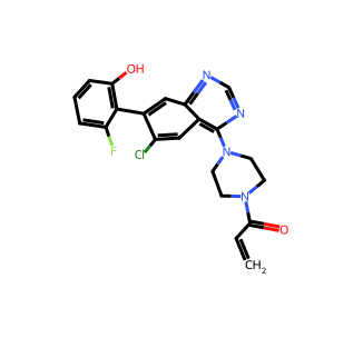 C=CC(=O)N1CCN(c2ncnc3cc(-c4c(O)cccc4F)c(Cl)cc23)CC1